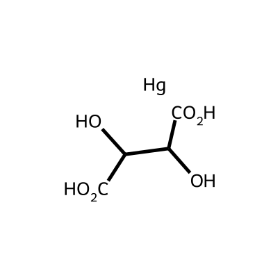 O=C(O)C(O)C(O)C(=O)O.[Hg]